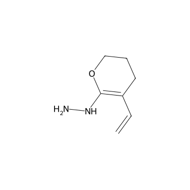 C=CC1=C(NN)OCCC1